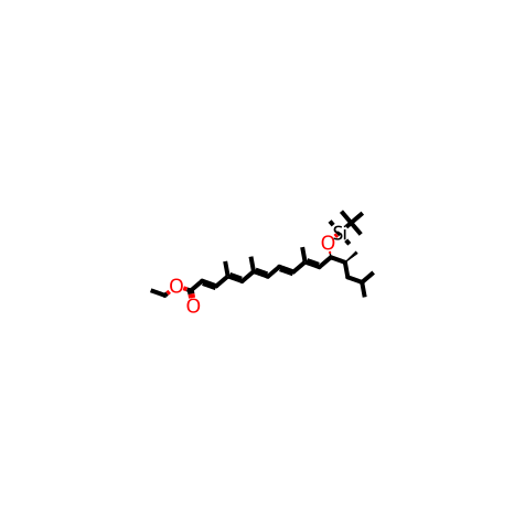 CCOC(=O)/C=C/C(C)=C/C(C)=C/C=C/C(C)=C/[C@H](O[Si](C)(C)C(C)(C)C)[C@@H](C)CC(C)C